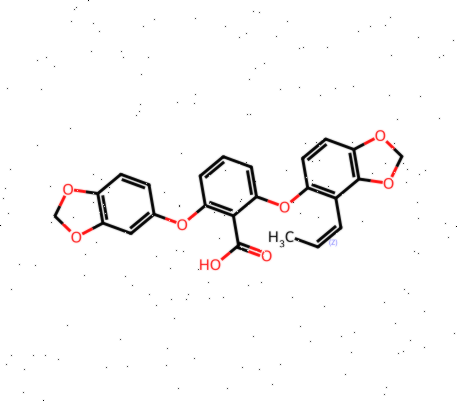 C/C=C\c1c(Oc2cccc(Oc3ccc4c(c3)OCO4)c2C(=O)O)ccc2c1OCO2